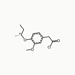 CC[C@@H](C)Oc1ccc(CC(=O)Cl)cc1OC